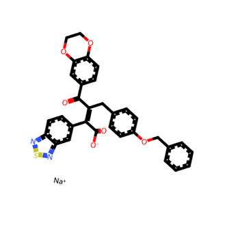 O=C([O-])C(=C(Cc1ccc(OCc2ccccc2)cc1)C(=O)c1ccc2c(c1)OCCO2)c1ccc2nsnc2c1.[Na+]